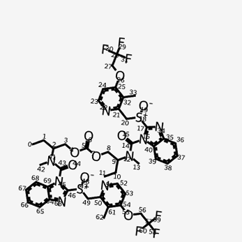 CCC(COC(=O)OCC(CC)N(C)C(=O)n1c([S+]([O-])Cc2nccc(OCC(F)(F)F)c2C)nc2ccccc21)N(C)C(=O)n1c([S+]([O-])Cc2nccc(OCC(F)(F)F)c2C)nc2ccccc21